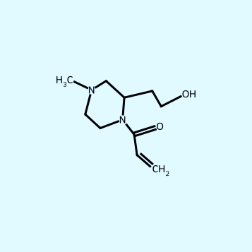 C=CC(=O)N1CCN(C)CC1CCO